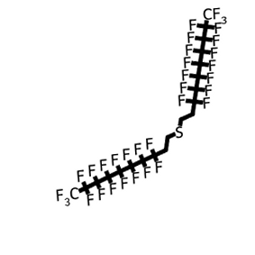 FC(F)(F)C(F)(F)C(F)(F)C(F)(F)C(F)(F)C(F)(F)C(F)(F)C(F)(F)CCSCCC(F)(F)C(F)(F)C(F)(F)C(F)(F)C(F)(F)C(F)(F)C(F)(F)C(F)(F)F